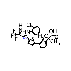 CC(C)(C(=O)O)c1cccc(-c2ccc(/C(=C/C(=N)C(F)(F)F)Nc3ccccc3Cl)s2)c1